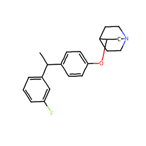 CC(c1ccc(OC2CN3CCC2CC3)cc1)c1cccc(F)c1